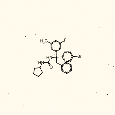 Cc1cc(F)cc(C(Cc2ccccc2)(NC(=O)NC2CCCC2)c2ccc(Br)cn2)c1